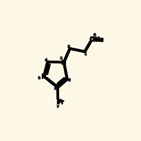 COCCn1cnc(C(C)C)c1